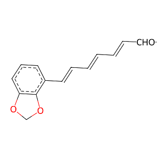 O=[C]C=CC=CC=Cc1cccc2c1OCO2